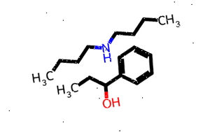 CCC(O)c1ccccc1.CCCCNCCCC